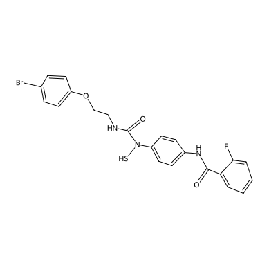 O=C(Nc1ccc(N(S)C(=O)NCCOc2ccc(Br)cc2)cc1)c1ccccc1F